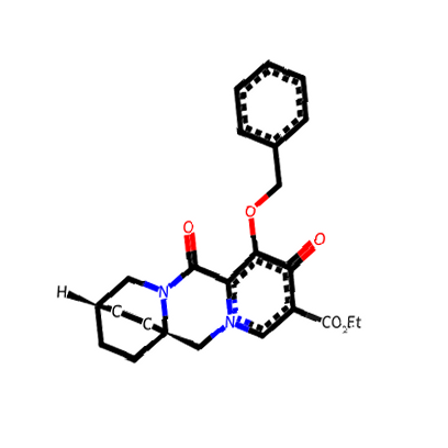 CCOC(=O)c1cn2c(c(OCc3ccccc3)c1=O)C(=O)N1C[C@H]3CC[C@@]1(CC3)C2